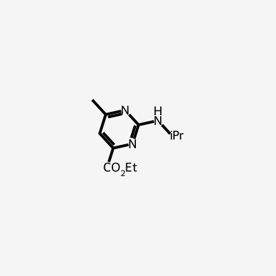 CCOC(=O)c1cc(C)nc(NC(C)C)n1